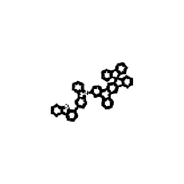 c1ccc2c(c1)-c1ccccc1C21c2ccccc2-c2cc3c4ccccc4c4cc(-n5c6ccccc6c6cc(-c7cccc8c7oc7ccccc78)ccc65)ccc4c3cc21